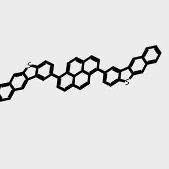 C1=CC2=C(c3ccc4sc5cc6ccccc6cc5c4c3)C=CC3=CC=C4C(c5ccc6sc7cc8ccccc8cc7c6c5)=CC=C1C4C32